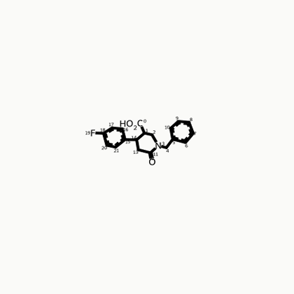 O=C(O)C1CN(Cc2ccccc2)C(=O)CC1c1ccc(F)cc1